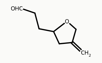 C=C1COC(CCC=O)C1